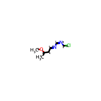 COC(C)C/C=N/C=N\CCl